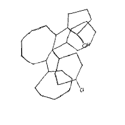 OC1CCCC1C1CCCCC[C](C2CCCCCC2)C1(C1CCCCC1)C1CCC(Cl)CC1